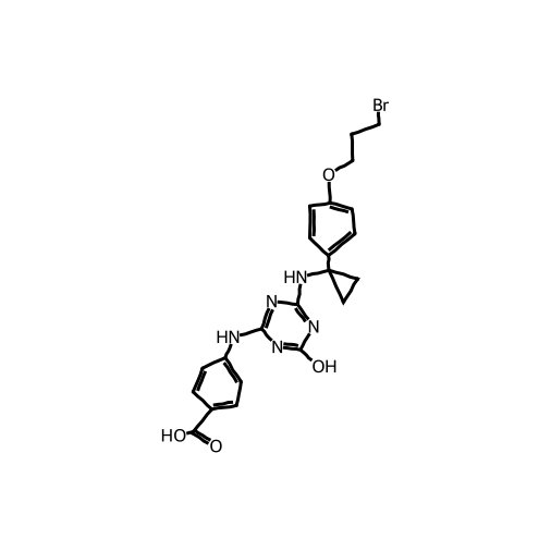 O=C(O)c1ccc(Nc2nc(O)nc(NC3(c4ccc(OCCCBr)cc4)CC3)n2)cc1